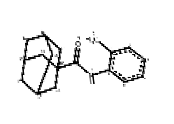 Cc1ccccc1NC(=O)C12CC3CC(CC(C3)C1)C2